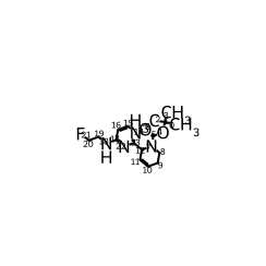 CC(C)(C)OC(=O)N1CCC=CC1c1nccc(NCCF)n1